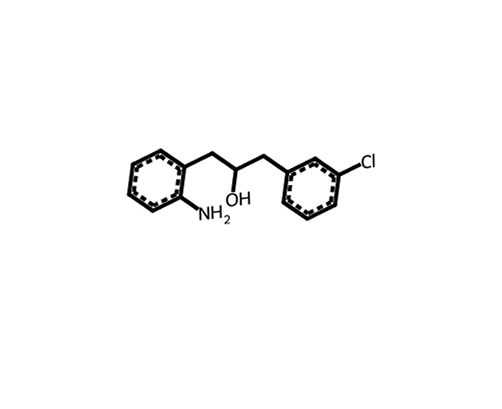 Nc1ccccc1CC(O)Cc1cccc(Cl)c1